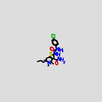 CCC[C@@H]1Cc2sc(NC(=O)Nc3ccc(Cl)cc3)c(C(N)=O)c2C(C)N1C